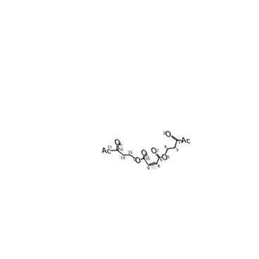 CC(=O)C(=O)CCOC(=O)/C=C\C(=O)OCCC(=O)C(C)=O